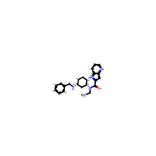 CCN(C(=O)c1cc2ncccc2[nH]1)[C@H]1CCC[C@@H](NCc2ccccc2)C1